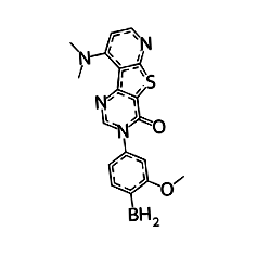 Bc1ccc(-n2cnc3c(sc4nccc(N(C)C)c43)c2=O)cc1OC